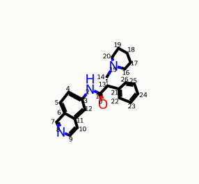 O=C(Nc1ccc2cnccc2c1)[C@H](CN1CCCCC1)c1ccccc1